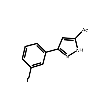 CC(=O)c1cc(-c2cccc(F)c2)n[nH]1